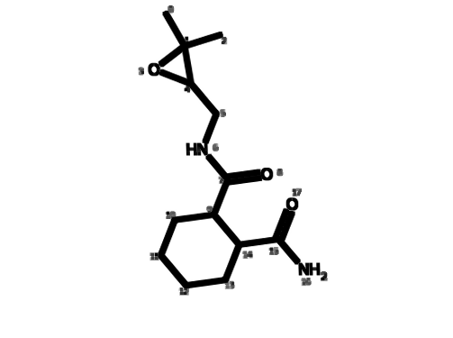 CC1(C)OC1CNC(=O)C1CCCCC1C(N)=O